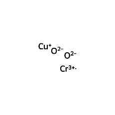 [Cr+3].[Cu+].[O-2].[O-2]